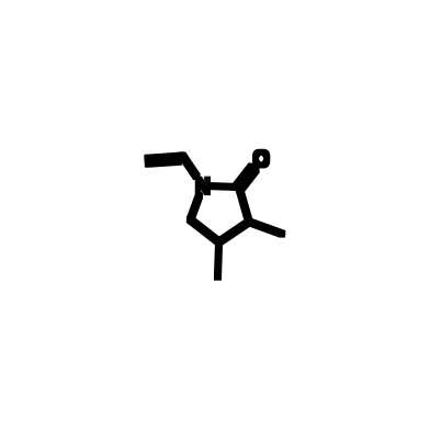 C=CN1CC(C)C(C)C1=O